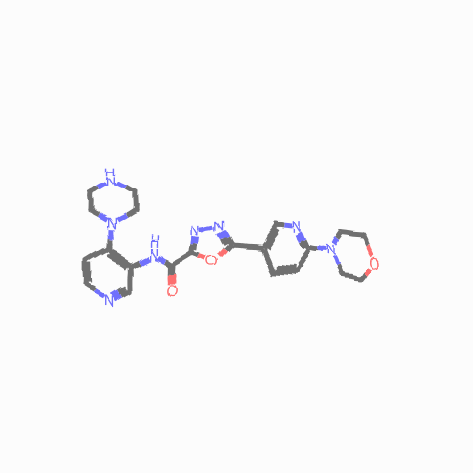 O=C(Nc1cnccc1N1CCNCC1)c1nnc(-c2ccc(N3CCOCC3)nc2)o1